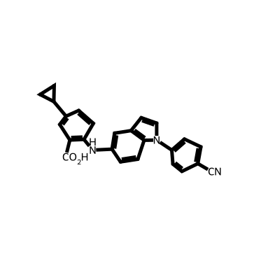 N#Cc1ccc(-n2ccc3cc(Nc4ccc(C5CC5)cc4C(=O)O)ccc32)cc1